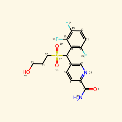 NC(=O)c1ccc(C(c2c(F)ccc(F)c2F)S(=O)(=O)CCCO)cn1